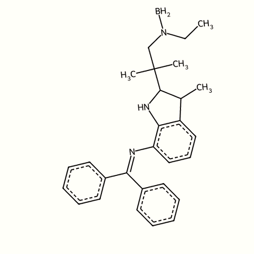 BN(CC)CC(C)(C)C1Nc2c(N=C(c3ccccc3)c3ccccc3)cccc2C1C